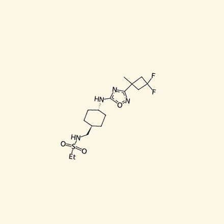 CCS(=O)(=O)NC[C@H]1CC[C@H](Nc2nc(C3(C)CC(F)(F)C3)no2)CC1